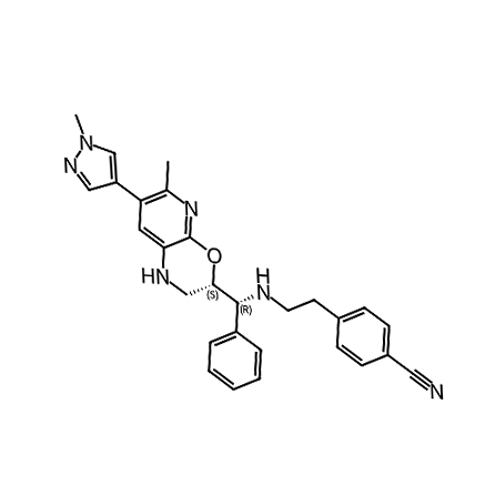 Cc1nc2c(cc1-c1cnn(C)c1)NC[C@@H]([C@H](NCCc1ccc(C#N)cc1)c1ccccc1)O2